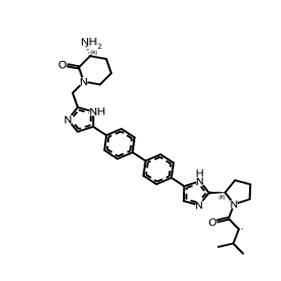 CC(C)[CH]C(=O)N1CCC[C@@H]1c1ncc(-c2ccc(-c3ccc(-c4cnc(CN5CCC[C@@H](N)C5=O)[nH]4)cc3)cc2)[nH]1